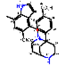 COc1cc(C)c2[nH]ccc2c1CN1CCC2CC1(c1ccc(C(=O)O)cc1)CCN2